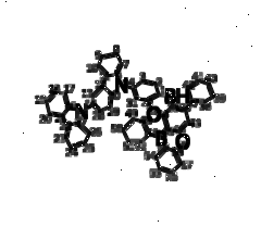 B1c2ccc(-n3c4ccccc4c4cc(-n5c6ccccc6c6ccccc65)ccc43)cc2Oc2c1c(-c1ccccc1)cc1c2B(c2ccccc2)c2ccccc2O1